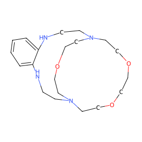 c1ccc2c(c1)NCCN1CCOCCOCCN(CCN2)CCOCC1